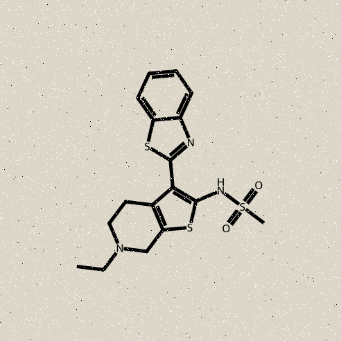 CCN1CCc2c(sc(NS(C)(=O)=O)c2-c2nc3ccccc3s2)C1